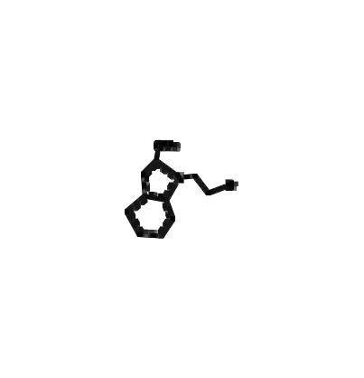 COc1cc2ccccc2n1CCBr